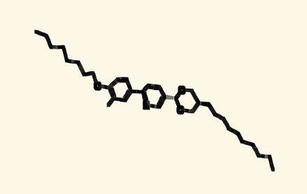 CCCCCCCCCC[C@H]1CO[C@H](c2ccc(-c3ccc(OCCCCCCCC)c(C)c3)nc2)OC1